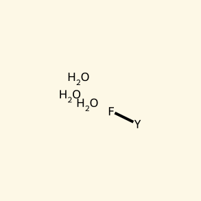 O.O.O.[F][Y]